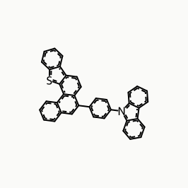 c1ccc2c(c1)cc(-c1ccc(-n3c4ccccc4c4ccccc43)cc1)c1ccc3c4ccccc4sc3c12